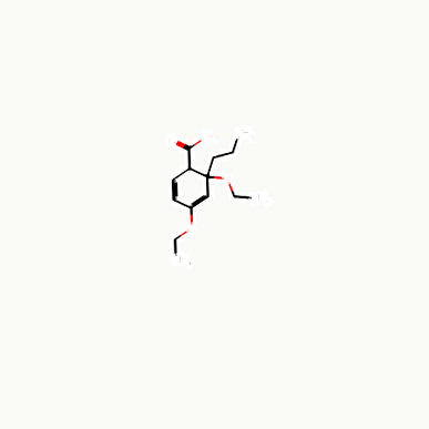 CCCC1(OCC)C=C(OCC)C=CC1C(=O)O